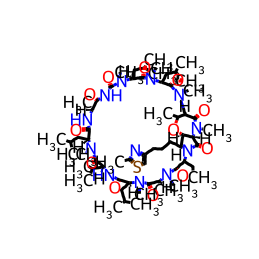 CCC1C(=O)N(C)[C@H](C)C(=O)N(C)[C@@H](CC(C)C)C(=O)N[C@H](C(C)C)C(=O)N(C)[C@H](CC(C)C)C(=O)N[C@H](C)C(=O)NC(=O)N(C)[C@H](CC(C)C)C(=O)N(C)C(CC(C)C)C(=O)N(C)[C@@H]2C(=O)N(C)[C@@H]3C(=O)N1[C@H](CCCc1csc(C)n1)[C@H]3OC2C